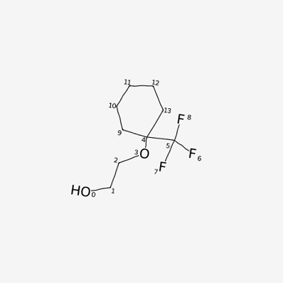 OCCOC1(C(F)(F)F)CCCCC1